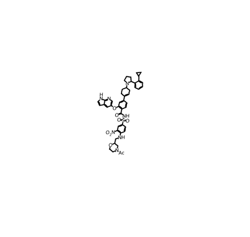 CC(=O)N1CCOC(CNc2ccc(S(=O)(=O)NC(=O)c3ccc(C4=CCC(N5CCCC5c5ccccc5C5CC5)CC4)cc3Oc3cnc4[nH]ccc4c3)cc2[N+](=O)[O-])C1